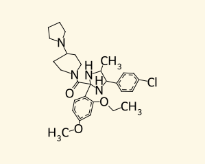 CCOc1cc(OC)ccc1C1(C(=O)N2CCC(N3CCCC3)CC2)NC(C)C(c2ccc(Cl)cc2)N1